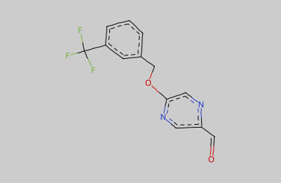 O=Cc1cnc(OCc2cccc(C(F)(F)F)c2)cn1